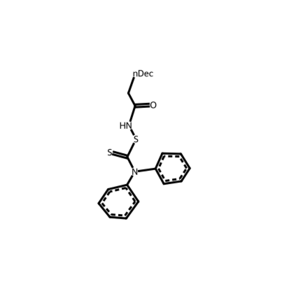 CCCCCCCCCCCC(=O)NSC(=S)N(c1ccccc1)c1ccccc1